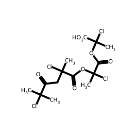 CC(C)(Cl)C(=O)CC(C)(Cl)C(=O)OC(C)(Cl)C(=O)OC(C)(Cl)C(=O)O